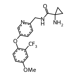 COc1ccc(Oc2ccc(CNC(=O)C3(N)CC3)nc2)c(C(F)(F)F)c1